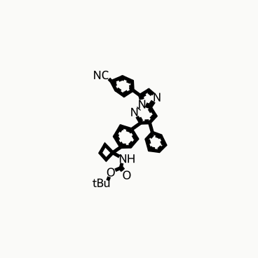 CC(C)(C)OC(=O)NC1(c2ccc(-c3nn4c(-c5ccc(C#N)cc5)cnc4cc3-c3ccccc3)cc2)CCC1